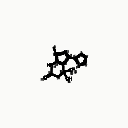 Cn1nc(-c2cccs2)c2c1NC(=O)CC2(O)C(F)(F)F